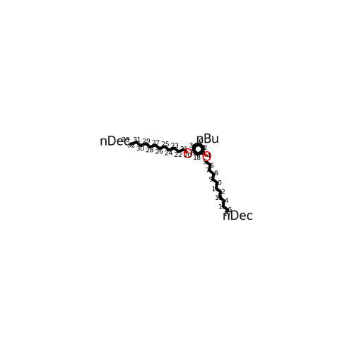 [CH2]CCCc1cc(OCCCCCCCCCCCCCCCCCCCCCC)cc(OCCCCCCCCCCCCCCCCCCCCCC)c1